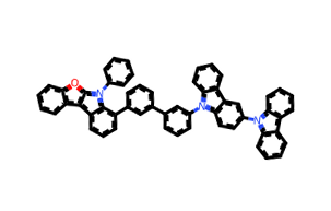 c1ccc(-n2c3oc4ccccc4c3c3cccc(-c4cccc(-c5cccc(-n6c7ccccc7c7cc(-n8c9ccccc9c9ccccc98)ccc76)c5)c4)c32)cc1